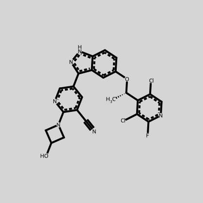 C[C@H](Oc1ccc2[nH]nc(-c3cnc(N4CC(O)C4)c(C#N)c3)c2c1)c1c(Cl)cnc(F)c1Cl